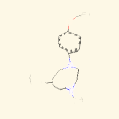 CCOc1ccc(N2CCN(C)CC(C)C2)cc1